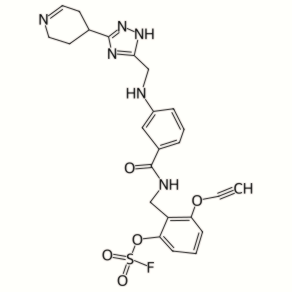 C#COc1cccc(OS(=O)(=O)F)c1CNC(=O)c1cccc(NCc2nc(C3CC=NCC3)n[nH]2)c1